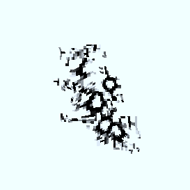 CCc1ccc(C(=O)OCc2c(-c3ccc(OC(=O)N(C)CCCN(C)C)cc3OC)ccc3c2C(C)=CC(C)(C)N3)cc1